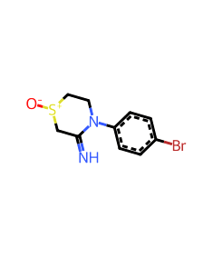 N=C1C[S+]([O-])CCN1c1ccc(Br)cc1